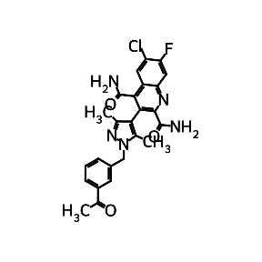 CC(=O)c1cccc(Cn2nc(C)c(-c3c(C(N)=O)nc4cc(F)c(Cl)cc4c3C(N)=O)c2C)c1